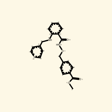 COC(=O)c1ccc(CONC(=O)c2ccccc2NCc2ccncc2)cc1